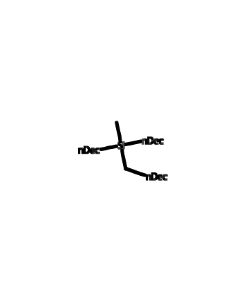 CCCCCCCCCCC[Si](C)(CCCCCCCCCC)CCCCCCCCCC